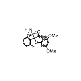 CNC(=O)C(Oc1nc(OC)cc(OC)n1)(c1ccccc1F)S(N)(=O)=O